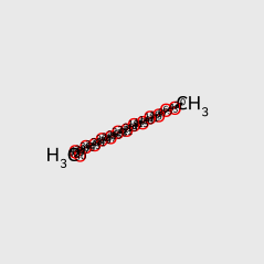 CCCOCCOCCOCCOCCOCCOCCOCCOCCOCCOCCOCCOCCC(=O)OC